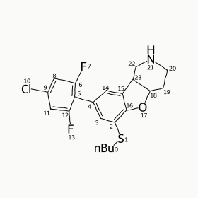 CCCCSc1cc(-c2c(F)cc(Cl)cc2F)cc2c1OC1CCNCC21